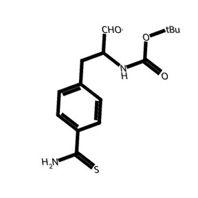 CC(C)(C)OC(=O)NC([C]=O)Cc1ccc(C(N)=S)cc1